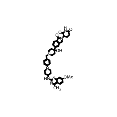 COc1ccc2c(C)nc(NC3CCN(c4ccc(CN5CCC(O)(c6ccc7c(c6)CN(C6CCC(=O)NC6=O)C7=O)CC5)cc4)CC3)nc2c1